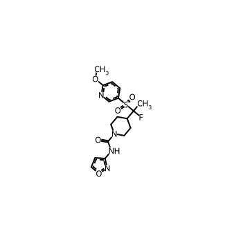 COc1ccc(S(=O)(=O)C(C)(F)C2CCN(C(=O)Nc3ccon3)CC2)cn1